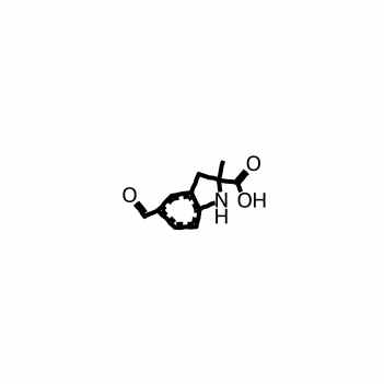 CC1(C(=O)O)Cc2cc(C=O)ccc2N1